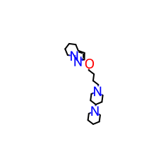 c1c(OCCCCN2CCC(N3CCCCC3)CC2)nn2c1CCCC2